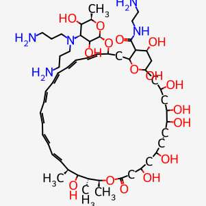 C[C@@H]1OC(=O)CC(O)CC(O)CCC(O)C(O)CC(O)CC2(O)C[C@H](O)C(C(=O)NCCN)C(CC(O[C@@H]3O[C@H](C)C(O)[C@H](N(CCCN)CCCN)C3O)/C=C/C=C/C=C/C=C/C=C/C=C/C=C/[C@H](C)C(O)[C@H]1C)O2